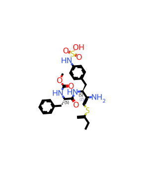 C=C(CC)S/C=C(\N)[C@H](Cc1ccc(NS(=O)(=O)O)cc1)NC(=O)[C@H](Cc1ccccc1)NC(=O)OC